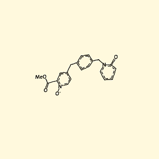 COC(=O)c1cc(Cc2ccc(Cn3ccccc3=O)cc2)cc[n+]1[O-]